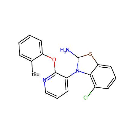 CC(C)(C)c1ccccc1Oc1ncccc1N1c2c(Cl)cccc2SC1N